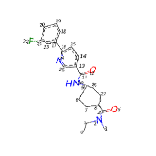 CCN(C)C(=O)C1CCC(NC(=O)c2ccc(-c3cccc(F)c3)nc2)CC1